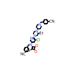 CC[C@H]1CN(c2ncc(N(Cc3ccc(C#N)cc3)c3c(C(C)C)c(=O)c3=O)cc2Cl)CCN1C1CCN(Cc2ccc(C#N)cc2)CC1